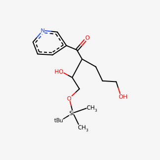 CC(C)(C)[Si](C)(C)OCC(O)C(CCCO)C(=O)c1cccnc1